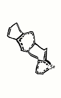 C1=Cc2cc3c(cc2=C1)C=c1[se]ccc1=3